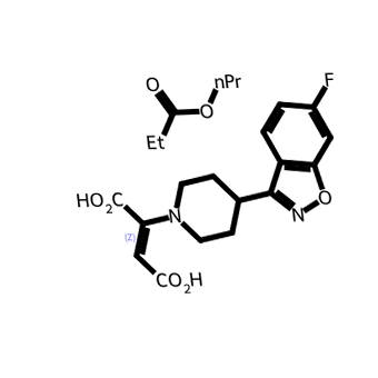 CCCOC(=O)CC.O=C(O)/C=C(/C(=O)O)N1CCC(c2noc3cc(F)ccc23)CC1